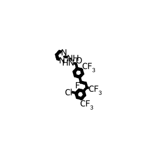 O=C(NNc1ncccn1)c1ccc(/C(F)=C/C(c2cc(Cl)cc(C(F)(F)F)c2)C(F)(F)F)cc1C(F)(F)F